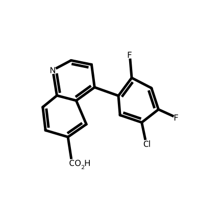 O=C(O)c1ccc2nccc(-c3cc(Cl)c(F)cc3F)c2c1